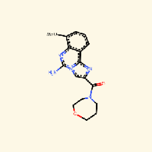 COc1cccc2c1nc(N)n1cc(C(=O)N3CCCOCC3)nc21